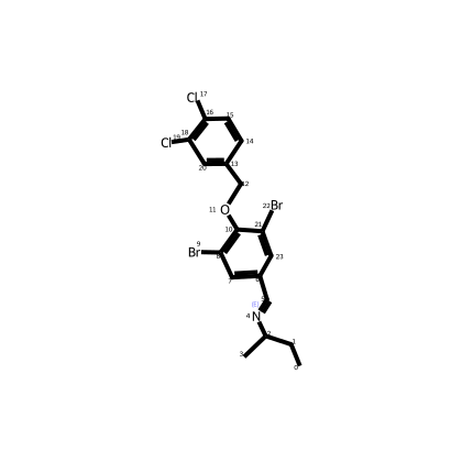 CCC(C)/N=C/c1cc(Br)c(OCc2ccc(Cl)c(Cl)c2)c(Br)c1